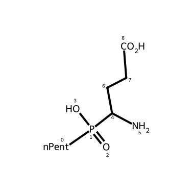 CCCCCP(=O)(O)C(N)CCC(=O)O